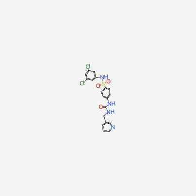 O=C(NCc1cccnc1)Nc1ccc(S(=O)(=O)Nc2cc(Cl)cc(Cl)c2)cc1